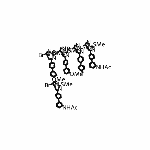 COc1ccc(-c2ccc(-c3cc4c(Br)cnn4c(SC)n3)cc2)cc1.COc1cccc(-c2ccc(-c3cc4c(Br)cnn4c(SC)n3)cc2)c1.CSc1nc(-c2ccc(-c3ccc(F)cc3)cc2)cc2c(Br)cnn12.CSc1nc(-c2ccc(-c3cccc(NC(C)=O)c3)cc2)cc2c(Br)cnn12.CSc1nc(-c2ccc(-c3cccc(NC(C)=O)c3)cc2)cc2ccnn12